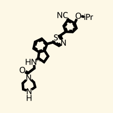 CC(C)Oc1ccc(-c2ncc(-c3cccc4c3CC[C@H]4NCC(=O)N3CCNCC3)s2)cc1C#N